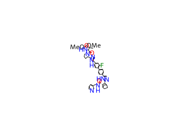 COC(=O)N[C@H](C(=O)N1CCCC1c1ncc(-c2ccc(-c3ccc(-c4cnc([C@H]5C6CCC(C6)[C@@H]5C(=O)NCc5cccnc5)[nH]4)cc3)c(F)c2)[nH]1)[C@@H](C)OC